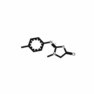 Cc1ccc(/N=C2/SC(=O)CN2C)cc1